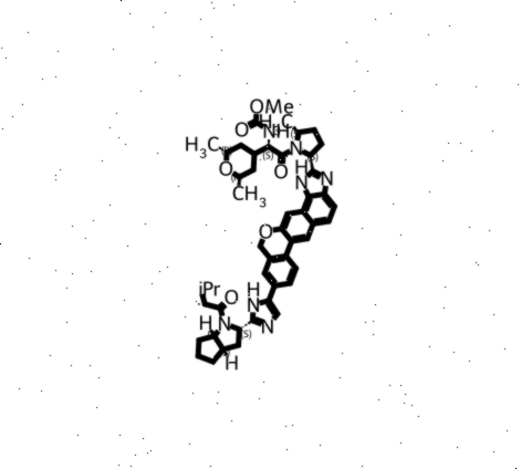 COC(=O)N[C@H](C(=O)N1[C@@H](C)CC[C@H]1c1nc2ccc3cc4c(cc3c2[nH]1)OCc1cc(-c2cnc([C@@H]3C[C@@H]5CCC[C@@H]5N3C(=O)[CH]C(C)C)[nH]2)ccc1-4)C1C[C@@H](C)O[C@H](C)C1